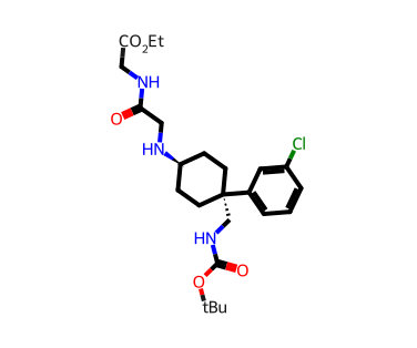 CCOC(=O)CNC(=O)CN[C@H]1CC[C@@](CNC(=O)OC(C)(C)C)(c2cccc(Cl)c2)CC1